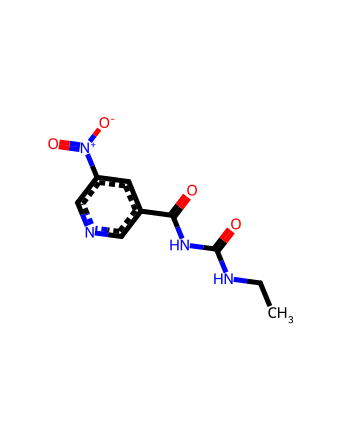 CCNC(=O)NC(=O)c1cncc([N+](=O)[O-])c1